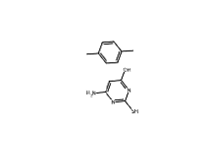 Cc1ccc(C)cc1.Nc1cc(O)nc(S)n1